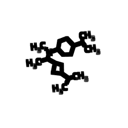 CC(C)C1CCC(N(C)C(C)C2CC(C(C)C)C2)CC1